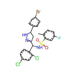 Cc1ccc(F)cc1S(=O)(=O)NC(C1=NNC(c2ccc(Br)cc2)C1)c1ccc(Cl)cc1Cl